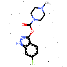 CN1CCN(C(=O)Oc2n[nH]c3cc(F)ccc23)CC1